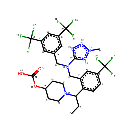 CCC(c1ccc(C(F)(F)F)cc1CN(Cc1cc(C(F)(F)F)cc(C(F)(F)F)c1)c1nnn(C)n1)N1CCC(OC(=O)O)CC1